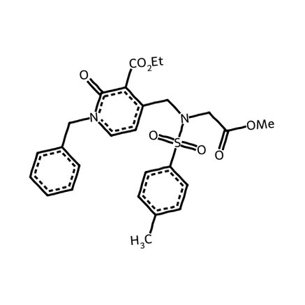 CCOC(=O)c1c(CN(CC(=O)OC)S(=O)(=O)c2ccc(C)cc2)ccn(Cc2ccccc2)c1=O